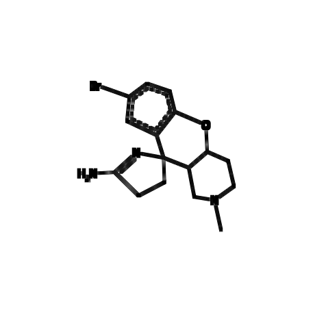 CN1CCC2Oc3ccc(Br)cc3C3(CCC(N)=N3)C2C1